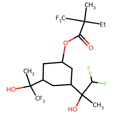 CCC(C)(C(=O)OC1CC(C(C)(O)C(F)F)CC(C(C)(O)C(F)(F)F)C1)C(F)(F)F